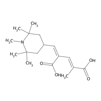 CC(=CC(=CC1CC(C)(C)N(C)C(C)(C)C1)C(=O)O)C(=O)O